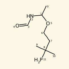 CC(NC=O)OCCC(C)(C)P